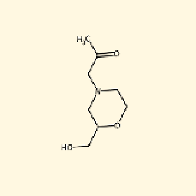 CC(=O)CN1CCOC(CO)C1